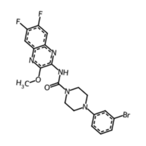 COc1nc2cc(F)c(F)cc2nc1NC(=O)N1CCN(c2cccc(Br)c2)CC1